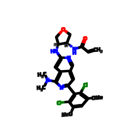 C=CC(=O)N[C@H]1COC[C@H]1Nc1cc2c(N(C)C)nc(-c3c(Cl)c(OC)cc(OC)c3Cl)cc2cn1